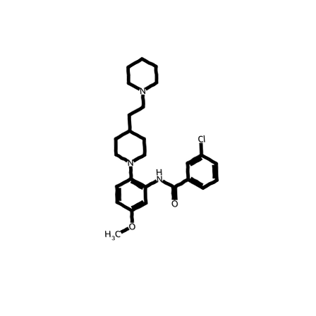 COc1ccc(N2CCC(CCN3CCCCC3)CC2)c(NC(=O)c2cccc(Cl)c2)c1